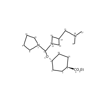 CCOC(=O)[C@H]1CC[C@H](OC(N2CCCC2)N2CC(CN(C)C)C2)CC1